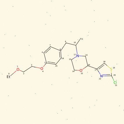 CCOCCOc1ccc(CC(C)N2CCOC(c3csc(Cl)n3)C2)cc1